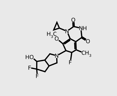 COC1=c2c(c(=O)[nH]c(=O)n2C2CC2)=C(C)C(F)C1N1CC2CC(F)(F)C(O)C2C1